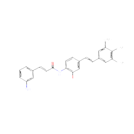 COc1cc(C=Cc2ccc(NC(=O)/C=C/c3cccc(N)c3)c(O)c2)cc(OC)c1OC